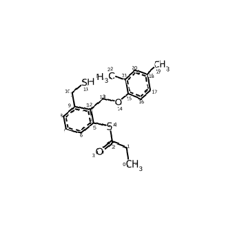 CCC(=O)Sc1cccc(CS)c1COc1ccc(C)cc1C